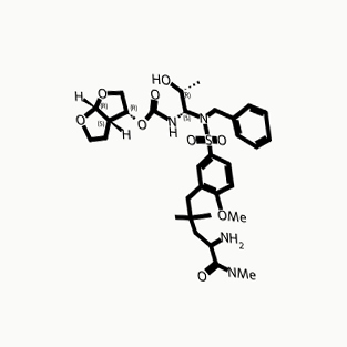 CNC(=O)C(N)CC(C)(C)Cc1cc(S(=O)(=O)N(Cc2ccccc2)[C@H](NC(=O)O[C@H]2CO[C@H]3OCC[C@H]32)[C@@H](C)O)ccc1OC